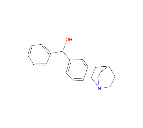 C1CN2CCC1CC2.OC(c1ccccc1)c1ccccc1